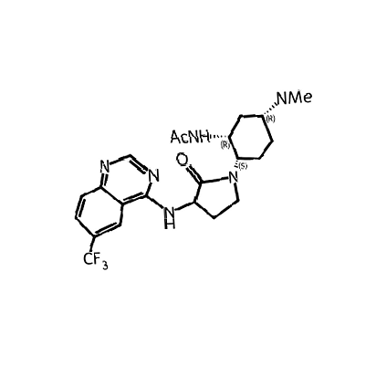 CN[C@@H]1CC[C@H](N2CCC(Nc3ncnc4ccc(C(F)(F)F)cc34)C2=O)[C@H](NC(C)=O)C1